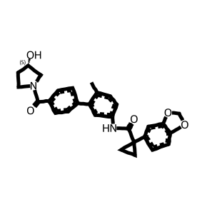 Cc1ccc(NC(=O)C2(c3ccc4c(c3)OCO4)CC2)cc1-c1ccc(C(=O)N2CC[C@H](O)C2)cc1